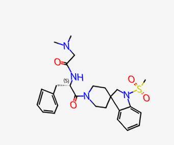 CN(C)CC(=O)N[C@@H](Cc1ccccc1)C(=O)N1CCC2(CC1)CN(S(C)(=O)=O)c1ccccc12